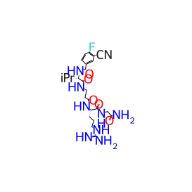 CC(C)[C@H](NC(=O)c1ccc(F)c(C#N)c1)C(=O)NCCC(=O)N[C@@H](CCCNC(=N)N)C(=O)NCC(N)=O